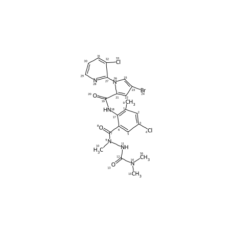 Cc1cc(Cl)cc(C(=O)N(C)NC(=O)N(C)C)c1NC(=O)c1cc(Br)cn1-c1ncccc1Cl